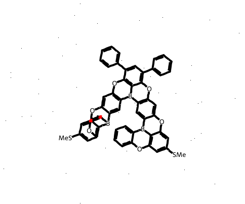 CSc1cc2c3c(c1)Oc1cc4c(cc1B3c1ccccc1O2)B1c2cc3c(cc2Oc2c(-c5ccccc5)cc(-c5ccccc5)c(c21)O4)Oc1cc(SC)cc2c1B3c1ccccc1O2